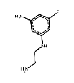 NCCNc1cc(N)cc(F)c1